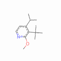 COc1nccc(C(C)C)c1C(C)(C)C